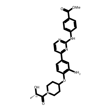 COC(=O)c1ccc(Nc2nccc(-c3ccc(OC4CCN(C(=O)[C@H](C)O)CC4)c(N)c3)n2)cc1